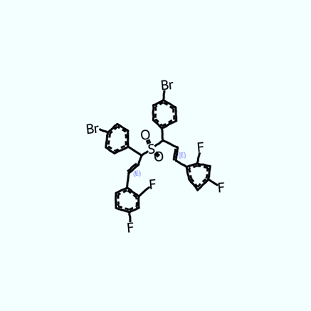 O=S(=O)(C(/C=C/c1ccc(F)cc1F)c1ccc(Br)cc1)C(/C=C/c1ccc(F)cc1F)c1ccc(Br)cc1